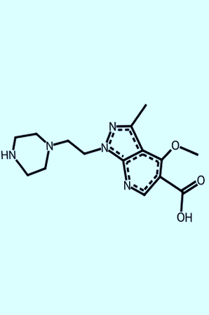 COc1c(C(=O)O)cnc2c1c(C)nn2CCN1CCNCC1